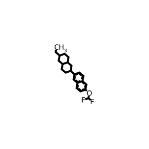 CCC1CCC2CC(c3ccc4cc(OC(F)F)ccc4c3)CCC2C1